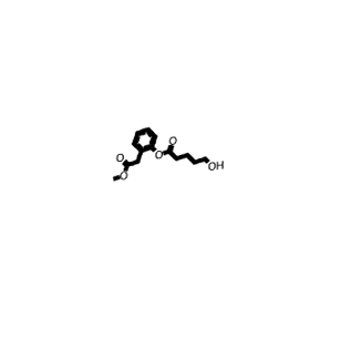 COC(=O)Cc1ccccc1OC(=O)CCCCO